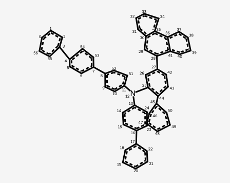 c1ccc(-c2ccc(-c3ccc(N(c4ccc(-c5ccccc5)cc4)c4cc(-c5cc6ccccc6c6ccccc56)ccc4-c4ccccc4)cc3)cc2)cc1